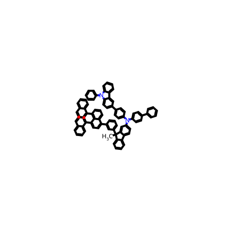 CC1(c2cccc(-c3ccc(-c4cccc5ccccc45)c4c(-c5cccc6ccccc56)cccc34)c2)c2ccccc2-c2ccc(N(c3ccc(-c4ccccc4)cc3)c3ccc(-c4ccc5c(c4)c4ccccc4n5-c4ccccc4)cc3)cc21